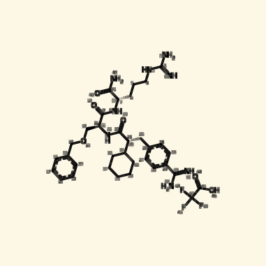 N=C(N)NCCC[C@H](NC(=O)[C@H](COCc1ccccc1)NC(=O)[C@H](Cc1ccc(C(=N)N)cc1)C1CCCCC1)C(N)=O.O=C(O)C(F)(F)F